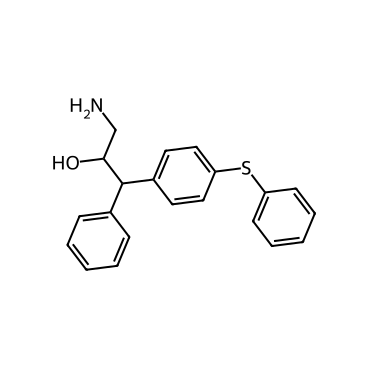 NCC(O)C(c1ccccc1)c1ccc(Sc2ccccc2)cc1